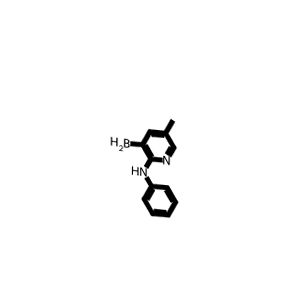 Bc1cc(C)cnc1Nc1ccccc1